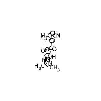 Cc1cc(C)n2nc(CC3=C(O)CC(CCc4ccc(C(C)(C)C#N)c(C(F)(F)F)c4)(C4CCCC4)OC3=O)nc2n1